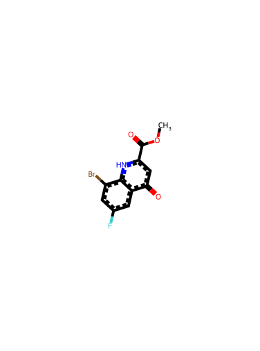 COC(=O)c1cc(=O)c2cc(F)cc(Br)c2[nH]1